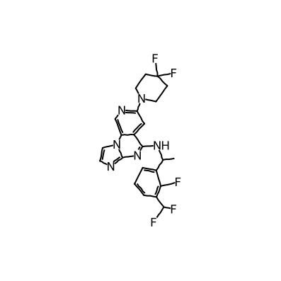 CC(Nc1nc2nccn2c2cnc(N3CCC(F)(F)CC3)cc12)c1cccc(C(F)F)c1F